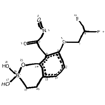 O=NC(=O)c1c(OCC(F)F)ccc2c1O[B-](O)(O)CC2